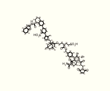 Cc1c(-c2ccc(-c3ccc4c(c3)N(C(=O)Nc3nc5ccccc5s3)CCC4)nc2C(=O)O)cnn1CC12CC3(C)CC(C)(C1)CC(OCCN(CCS(=O)(=O)O)C(=O)OCc1ccc(N(C(=O)[C@@H](NC(=O)CCN4C(=O)C=CC4=O)C(C)C)[C@@H](CCCNC(N)=O)C(N)=O)cc1)(C3)C2